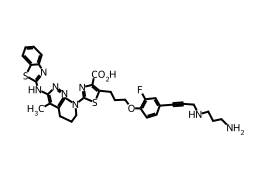 Cc1c(Nc2nc3ccccc3s2)nnc2c1CCCN2c1nc(C(=O)O)c(CCCOc2ccc(C#CCNCCCN)cc2F)s1